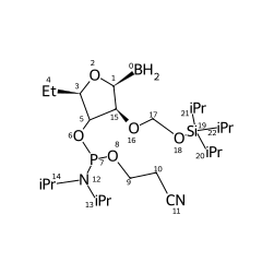 B[C@@H]1O[C@H](CC)C(OP(OCCC#N)N(C(C)C)C(C)C)[C@@H]1OCO[Si](C(C)C)(C(C)C)C(C)C